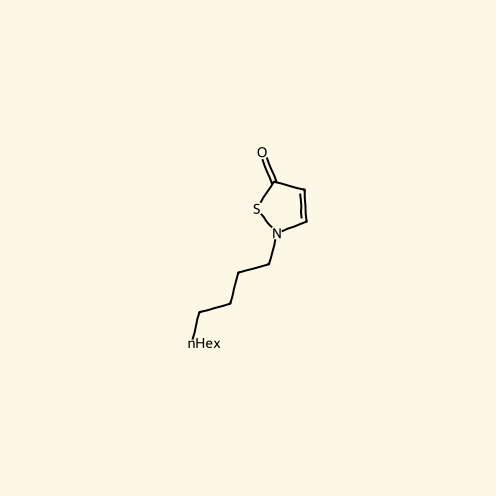 CCCCCCCCCCn1ccc(=O)s1